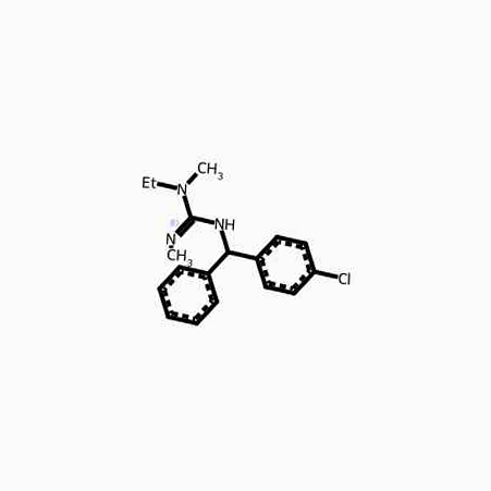 CCN(C)/C(=N/C)NC(c1ccccc1)c1ccc(Cl)cc1